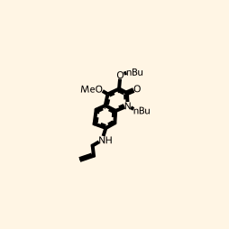 C=CCNc1ccc2c(OC)c(OCCCC)c(=O)n(CCCC)c2c1